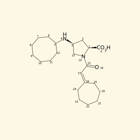 O=C(O)[C@@H]1C[C@H](NC2CCCCCCC2)CN1C(=O)C=C1CCCCCC1